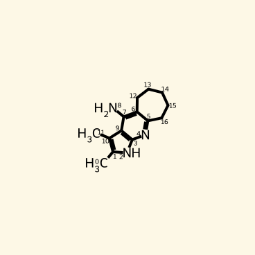 Cc1[nH]c2nc3c(c(N)c2c1C)CCCCC3